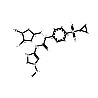 CON1C=C(NC(=O)[C@H](CC2CC(F)C(F)C2)c2ccc(S(=O)(=O)C3CC3)cc2)SC1